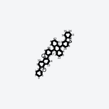 c1ccc2c(c1)oc1c2ccc2c1ccc1c3cc(-c4c5ccccc5c(-c5ccc6sc7ccccc7c6c5)c5ccccc45)ccc3oc12